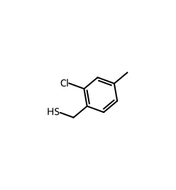 Cc1ccc(CS)c(Cl)c1